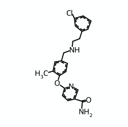 Cc1cc(CNCCc2cccc(Cl)c2)ccc1Oc1ccc(C(N)=O)cn1